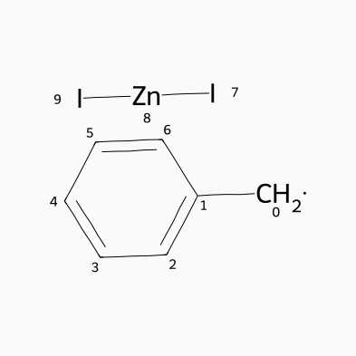 [CH2]c1ccccc1.[I][Zn][I]